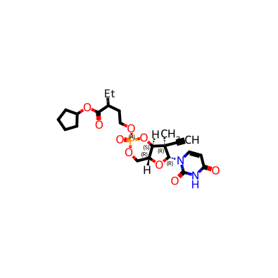 C#C[C@]1(C)[C@@H]2O[P@](=O)(OCCC(CC)C(=O)OC3CCCC3)OC[C@H]2O[C@H]1n1ccc(=O)[nH]c1=O